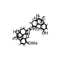 CN1CC[C@]23c4c5ccc(O)c4O[C@H]2C(=O)CC[C@H]3[C@H]1C5.COc1ccc2c3c1O[C@H]1C(=O)CC[C@H]4[C@@H](C2)N(C)CC[C@]314